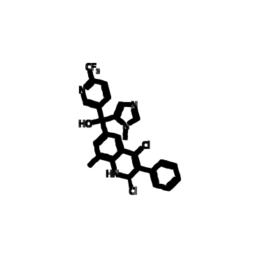 Cc1cc(C(O)(c2ccc(C(F)(F)F)nc2)c2cncn2C)cc2c1N[C@H](Cl)C(c1ccccc1)=C2Cl